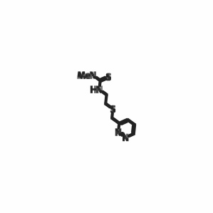 CNC(=S)NCCSCc1cccnn1